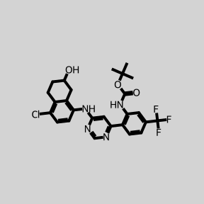 CC(C)(C)OC(=O)Nc1cc(C(F)(F)F)ccc1-c1cc(Nc2ccc(Cl)c3c2CC(O)CC3)ncn1